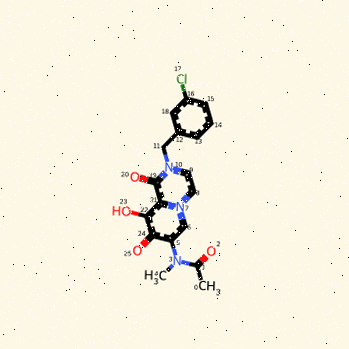 CC(=O)N(C)c1cn2ccn(Cc3cccc(Cl)c3)c(=O)c2c(O)c1=O